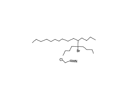 CCCCCCCCCCC(CCCC)C(Br)(CCCC)CCCC.N#CCCl